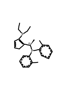 CCP(CC)C1=C([C@@H](C)P(c2ccccc2C)c2ccccc2C)CC=C1